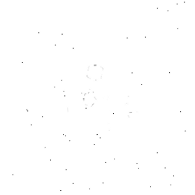 Cc1cc(OC2O[C@H](CO)C[C@H](O)[C@H]2O)n(-c2ccccc2)n1